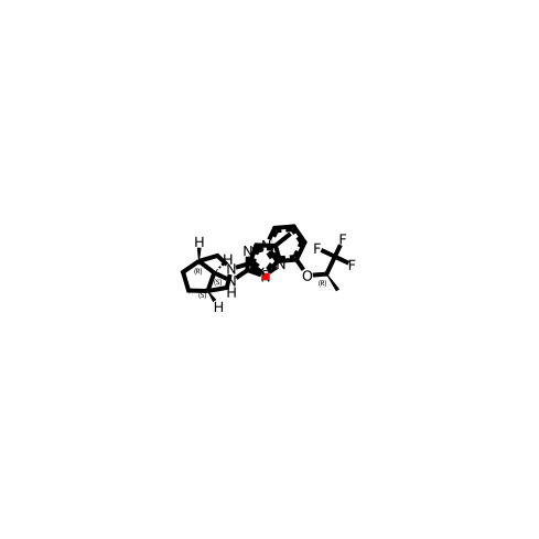 Cc1cc(N2C[C@H]3CC[C@@H](C2)[C@@H]3Nc2nc3c(O[C@H](C)C(F)(F)F)cccn3n2)sn1